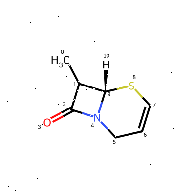 CC1C(=O)N2CC=CS[C@@H]12